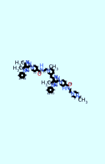 CCN1CCN(CCNC(=O)C2CCN(c3nnc(CC4CCC(C)N(CCNC(=O)C5CCN(c6nnc(C)c7c(C)n(-c8ccccc8)nc67)CC5)C4)c4c(C)n(-c5ccccc5)nc34)CC2)CC1